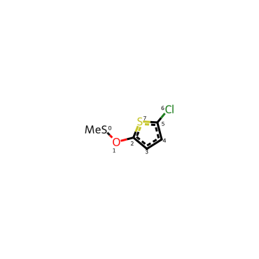 CSOc1ccc(Cl)s1